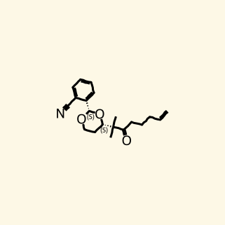 C=CCCCC(=O)C(C)(C)[C@@H]1CCO[C@H](c2ccccc2C#N)O1